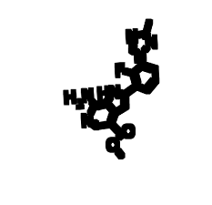 COC(=O)c1cnc(N)c2[nH]c(-c3cccc(-n4cnc(C)n4)c3F)cc12